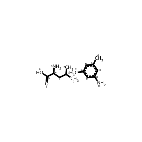 CC(C)CC(N)C(=O)O.Cc1cc(C)cc(N)c1